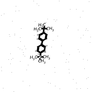 CC(C)(C)c1ccc(-c2ccc(S(C)(C)C)cc2)cc1